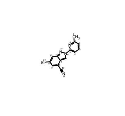 Cc1cccc(-n2cc3c(C#N)cc(Br)cc3n2)n1